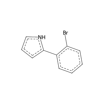 Brc1ccccc1-c1ccc[nH]1